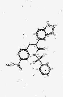 COC(=O)c1ccc(CC(C(=O)NS(=O)(=O)c2ccccc2)c2ccc3nsnc3c2)cc1